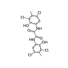 Cc1c(Cl)cc(NC(=O)C(=O)Nc2cc(Cl)c(C)c(Cl)c2O)c(O)c1Cl